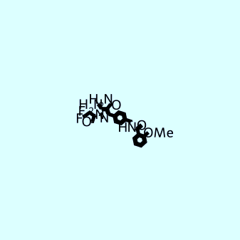 COc1ccccc1C(=O)NCc1ccc(-c2nn(C3COC(F)(F)C3)c(N)c2C(N)=O)cc1